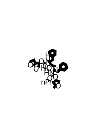 CCCC1C(C)OCC1OC(=O)NN(Cc1ccccc1)CC(O)C(Cc1ccccc1)NC(=O)OC1COC2OCCC12